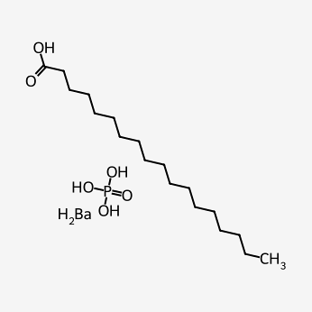 CCCCCCCCCCCCCCCCCC(=O)O.O=P(O)(O)O.[BaH2]